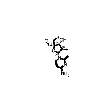 C=C1N=C(N)C=CN1[C@@H]1O[C@@](CO)(CBr)[C@@H](O)[C@H]1F